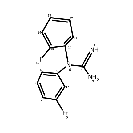 CCc1cccc(N(C(=N)N)c2ccccc2I)c1